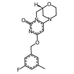 Cc1cc(F)cc(COc2cc3n(c(=O)n2)C[C@H]2CN3CCO2)c1